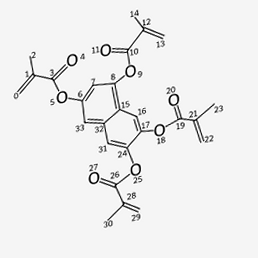 C=C(C)C(=O)Oc1cc(OC(=O)C(=C)C)c2cc(OC(=O)C(=C)C)c(OC(=O)C(=C)C)cc2c1